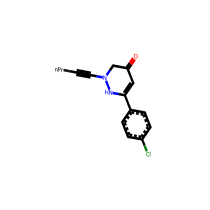 CCCC#CN1CC(=O)C=C(c2ccc(Cl)cc2)N1